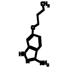 CCCCOc1ccc2c(N)n[nH]c2c1